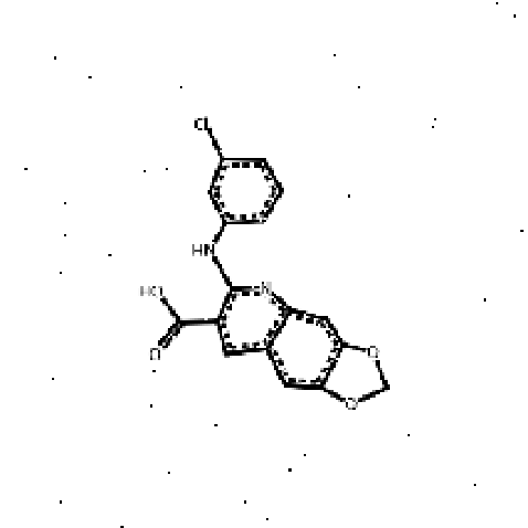 O=C(O)c1cc2cc3c(cc2nc1Nc1cccc(Cl)c1)OCO3